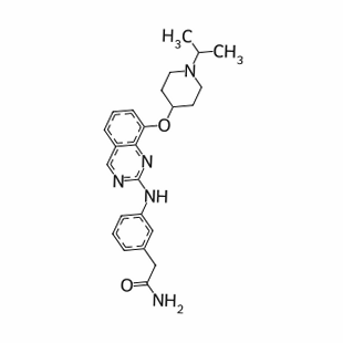 CC(C)N1CCC(Oc2cccc3cnc(Nc4cccc(CC(N)=O)c4)nc23)CC1